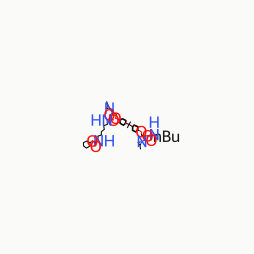 CCCCNC(=O)OC(COc1ccc(C(C)(C)c2ccc(OCC(CN3CC3C)OC(=O)NCCCCCCNC(=O)OC3CCCCC3)cc2)cc1)CN1CC1C